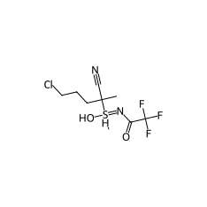 CC(C#N)(CCCCl)[SH](C)(O)=NC(=O)C(F)(F)F